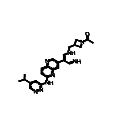 CC(=O)N1CC(CN/C=C(\C=N)c2cnc3ccc(Nc4cc(C(C)C)cnn4)nc3c2)C1